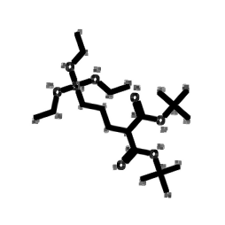 CCO[Si](CCCC(C(=O)OC(C)(C)C)C(=O)OC(C)(C)C)(OCC)OCC